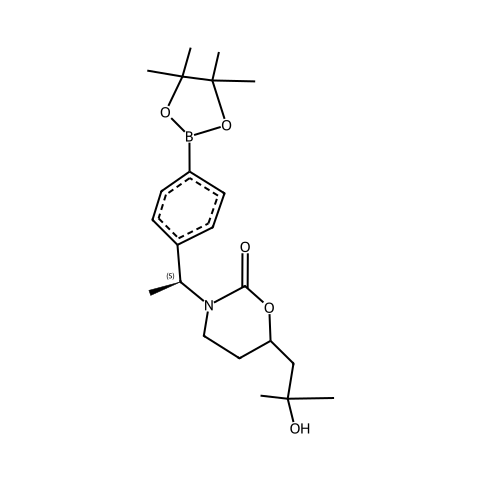 C[C@@H](c1ccc(B2OC(C)(C)C(C)(C)O2)cc1)N1CCC(CC(C)(C)O)OC1=O